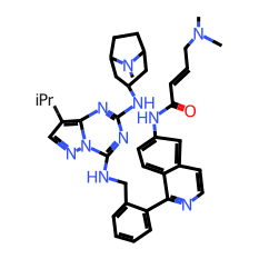 CC(C)c1cnn2c(NCc3ccccc3-c3nccc4cc(NC(=O)/C=C/CN(C)C)ccc34)nc(NC3CC4CCC(C3)N4C)nc12